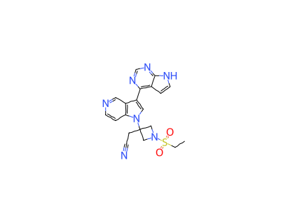 CCS(=O)(=O)N1CC(CC#N)(n2cc(-c3ncnc4[nH]ccc34)c3cnccc32)C1